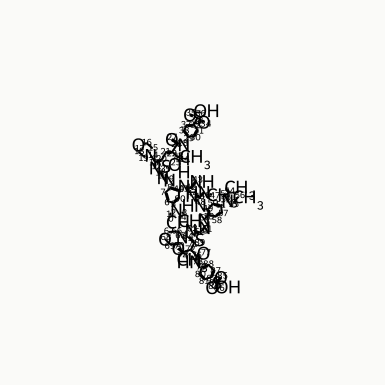 CCN(CC)c1ccc(/N=N/c2nc(N3CCOCC3)c(/C=C(\C(C)=O)C(=O)Nc3ccc(S(=O)(=O)O)cc3)s2)c(NC(=N)/N=C(\NC)Nc2cc(N(CC)CC)ccc2/N=N/c2nc(N3CCOCC3)c(C(C(C)=O)C(=O)Nc3ccc(S(=O)(=O)O)cc3)s2)c1